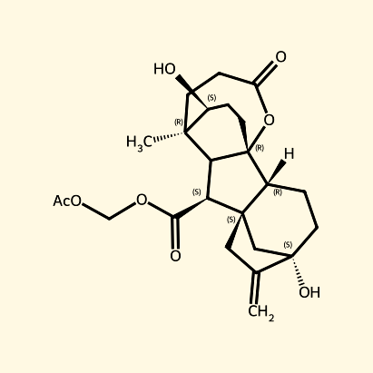 C=C1C[C@]23C[C@@]1(O)CC[C@H]2[C@@]12CC[C@H](O)[C@](C)(CCC(=O)O1)C2[C@@H]3C(=O)OCOC(C)=O